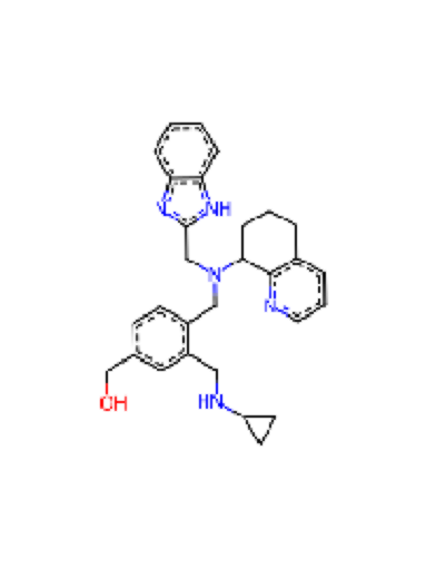 OCc1ccc(CN(Cc2nc3ccccc3[nH]2)C2CCCc3cccnc32)c(CNC2CC2)c1